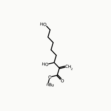 C=C(C(=O)OCCCC)C(O)CCCCCO